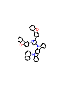 c1ccc2c(-n3c4ccccc4c4cc5c6ccccc6n(-c6cc(-c7ccc8oc9ccccc9c8c7)nc(-c7ccc8oc9ccccc9c8c7)c6)c5cc43)cccc2c1